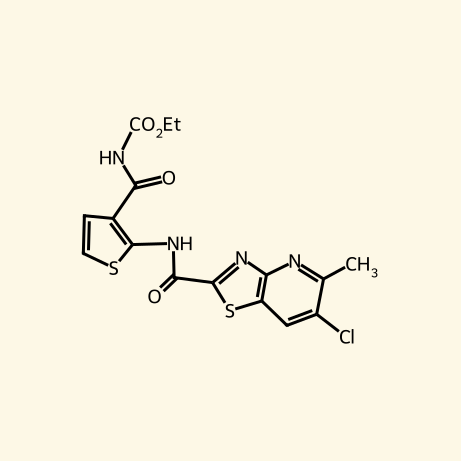 CCOC(=O)NC(=O)c1ccsc1NC(=O)c1nc2nc(C)c(Cl)cc2s1